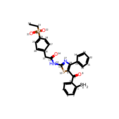 Bc1ccccc1C(=O)c1sc(NC(=O)Cc2ccc(S(=O)(=O)CC)cc2)nc1-c1ccccc1